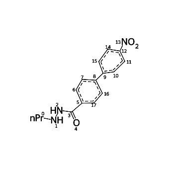 CCCNNC(=O)c1ccc(-c2ccc([N+](=O)[O-])cc2)cc1